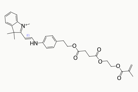 C=C(C)C(=O)OCCOC(=O)CCC(=O)OCCc1ccc(N/C=C/C2=[N+](C)c3ccccc3C2(C)C)cc1